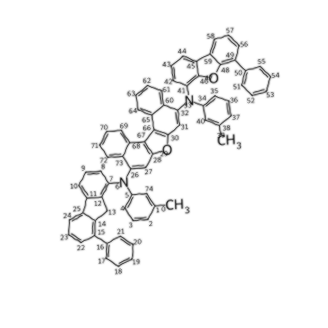 Cc1cccc(N(c2cccc3c2Cc2c(-c4ccccc4)cccc2-3)c2cc3oc4cc(N(c5cccc(C)c5)c5cccc6c5oc5c(-c7ccccc7)cccc56)c5ccccc5c4c3c3ccccc23)c1